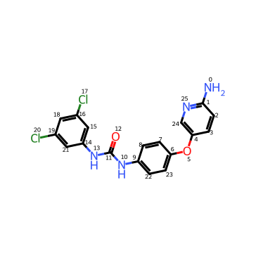 Nc1ccc(Oc2ccc(NC(=O)Nc3cc(Cl)cc(Cl)c3)cc2)cn1